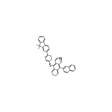 CC1(C)c2ccccc2-c2ccc(C3=CC=C(Sc4c5c(c(-c6ccc7ccccc7c6)c6cnccc46)=CCCC=5)CC3)cc21